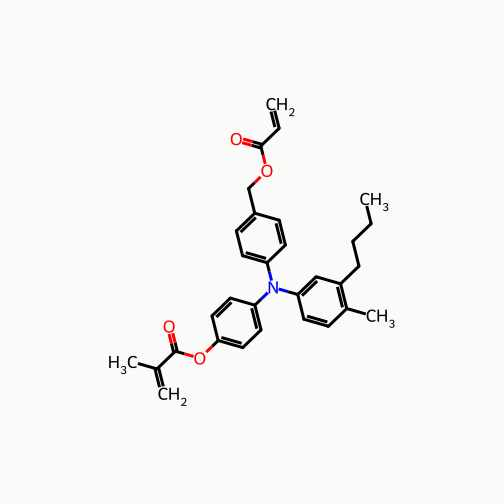 C=CC(=O)OCc1ccc(N(c2ccc(OC(=O)C(=C)C)cc2)c2ccc(C)c(CCCC)c2)cc1